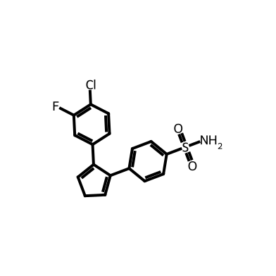 NS(=O)(=O)c1ccc(C2=CCC=C2c2ccc(Cl)c(F)c2)cc1